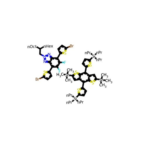 CCCCCCCCC(CCCCCC)Cn1nc2c(-c3ccc(Br)s3)c(F)c(F)c(-c3ccc(Br)s3)c2n1.CCC[Si](CCC)(CCC)c1ccc(-c2c3c[c]([Sn]([CH3])([CH3])[CH3])sc3c(-c3ccc([Si](CCC)(CCC)CCC)s3)c3c[c]([Sn]([CH3])([CH3])[CH3])sc23)s1